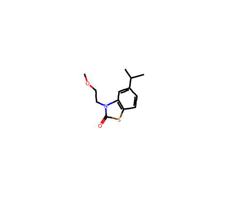 COCCn1c(=O)sc2ccc(C(C)C)cc21